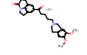 COc1cc2c(cc1OC)CN(CCCCC(=O)c1cc3c4c(c1)CCN4C(=O)CC3)CC2.Cl